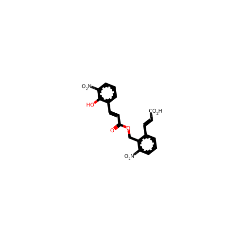 O=C(O)C=Cc1cccc([N+](=O)[O-])c1COC(=O)C=Cc1cccc([N+](=O)[O-])c1O